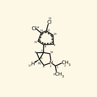 CC(C)N1C[C@@H]2CC2(c2ccc(Cl)c(Cl)c2)C1